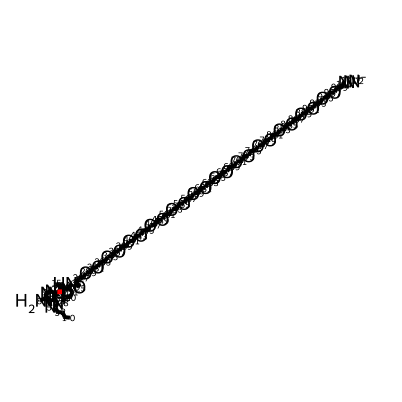 CCCCc1nc2c(N)nnc(OC(C)C)c2n1CC1CCC(NC(=O)CCOCCOCCOCCOCCOCCOCCOCCOCCOCCOCCOCCOCCOCCOCCOCCOCCOCCOCCOCCOCCOCCOCCOCCOCCN=[N+]=[N-])CC1